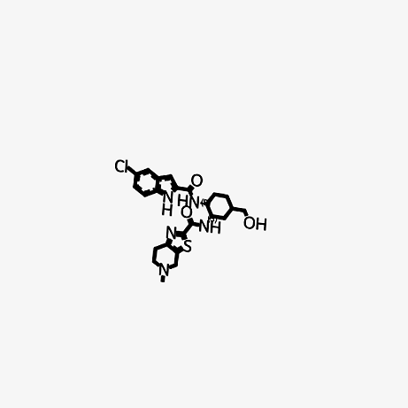 CN1CCc2nc(C(=O)N[C@H]3CC(CO)CC[C@H]3NC(=O)c3cc4cc(Cl)ccc4[nH]3)sc2C1